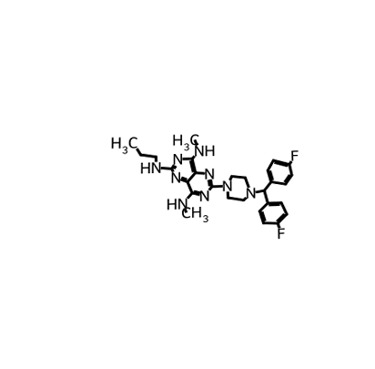 CCCNc1nc(NC)c2nc(N3CCN(C(c4ccc(F)cc4)c4ccc(F)cc4)CC3)nc(NC)c2n1